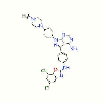 CN1CCN(C2CCC(n3nc(-c4ccc(Nc5nc6cc(Cl)cc(Cl)c6o5)cc4)c4c(N)ncnc43)CC2)CC1